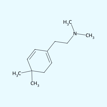 CN(C)CCC1=CCC(C)(C)C=C1